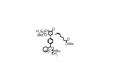 COC(=O)CCC/C=C\C[C@H]1C(=O)C[C@@H](O[Si](C)(C)C(C)(C)C)[C@@H]1c1ccc(C(O[Si](C)(C)C(C)(C)C)C2CCCCC2)cc1